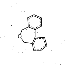 c1ccc2c(c1)COCc1ccccc1-2